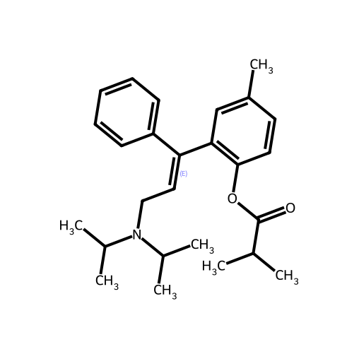 Cc1ccc(OC(=O)C(C)C)c(/C(=C/CN(C(C)C)C(C)C)c2ccccc2)c1